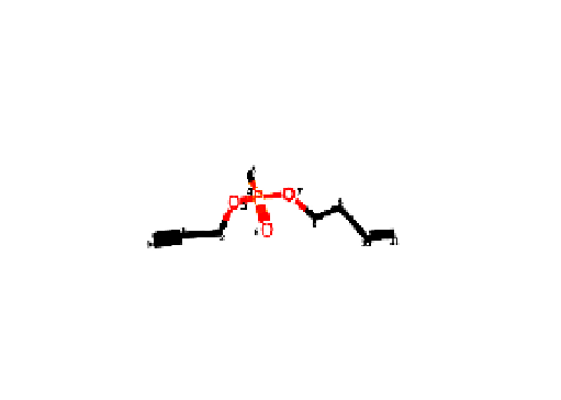 C#CCOP(C)(=O)OCCC=C